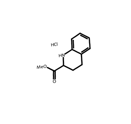 COC(=O)C1CCc2ccccc2N1.Cl